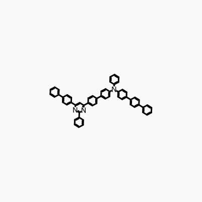 c1ccc(-c2ccc(-c3ccc(N(c4ccccc4)c4ccc(-c5ccc(-c6cc(-c7ccc(-c8ccccc8)cc7)nc(-c7ccccc7)n6)cc5)cc4)cc3)cc2)cc1